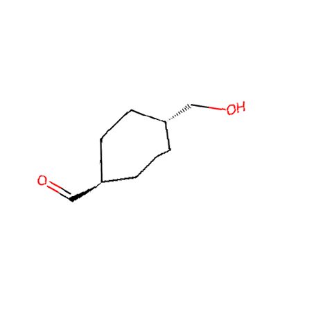 O=C[C@H]1CC[C@H](CO)CC1